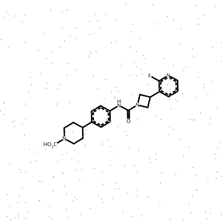 O=C(O)N1CCC(c2ccc(NC(=O)N3CC(c4cccnc4F)C3)cc2)CC1